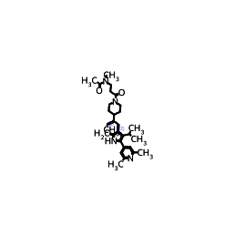 C=c1[nH]c(-c2cc(C)nc(C)c2)c(C(C)C)/c1=C/C(=C\C)C1CCN(C(=O)CCN(C)C(C)=O)CC1